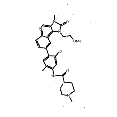 COCCn1c(=O)n(C)c2cnc3ccc(-c4cc(F)c(NC(=O)N5CCN(C)CC5)cc4Cl)cc3c21